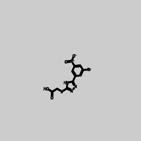 O=C(O)CSc1nnc(-c2cc(Br)cc([N+](=O)[O-])c2)[nH]1